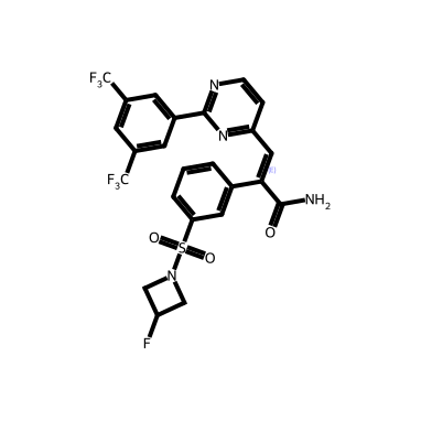 NC(=O)/C(=C/c1ccnc(-c2cc(C(F)(F)F)cc(C(F)(F)F)c2)n1)c1cccc(S(=O)(=O)N2CC(F)C2)c1